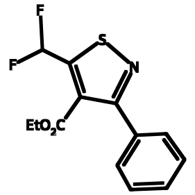 CCOC(=O)c1c(-c2ccccc2)nsc1C(F)F